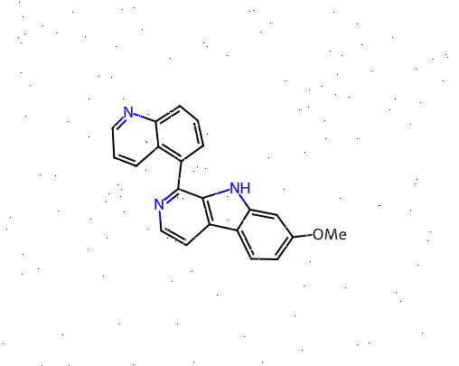 COc1ccc2c(c1)[nH]c1c(-c3cccc4ncccc34)nccc12